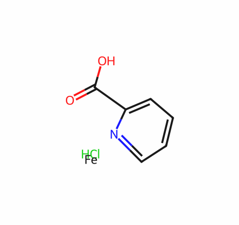 Cl.O=C(O)c1ccccn1.[Fe]